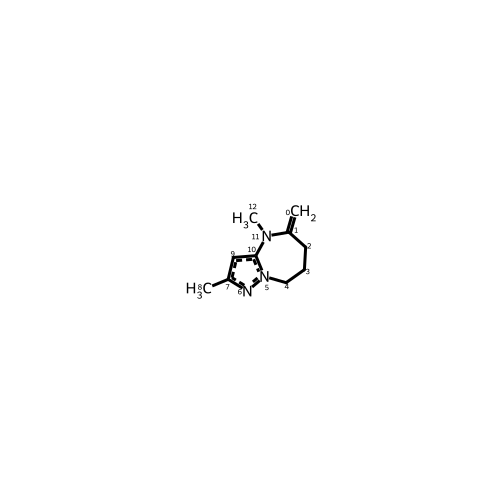 C=C1CCCn2nc(C)cc2N1C